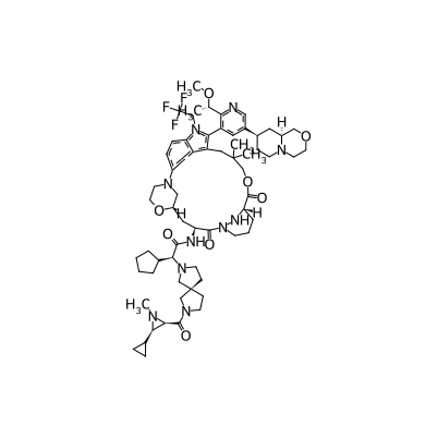 CO[C@@H](C)c1ncc([C@@H]2CCN3CCOC[C@@H]3C2)cc1-c1c2c3cc(ccc3n1CC(F)(F)F)N1CCO[C@@H](C[C@H](NC(=O)[C@H](C3CCCC3)N3CC[C@]4(CCN(C(=O)[C@H]5[C@@H](C6CC6)N5C)C4)C3)C(=O)N3CCC[C@H](N3)C(=O)OCC(C)(C)C2)C1